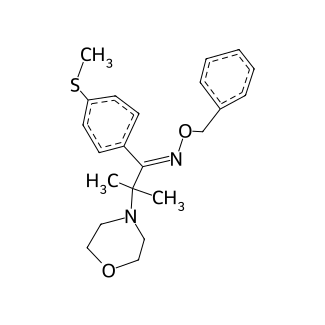 CSc1ccc(/C(=N\OCc2ccccc2)C(C)(C)N2CCOCC2)cc1